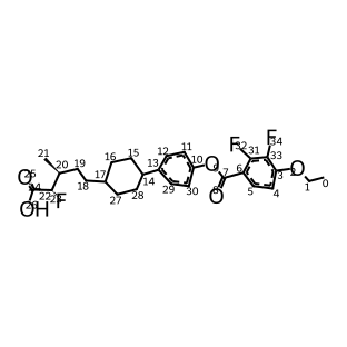 CCOc1ccc(C(=O)Oc2ccc(C3CCC(CC[C@H](C)[C@H](F)C(=O)O)CC3)cc2)c(F)c1F